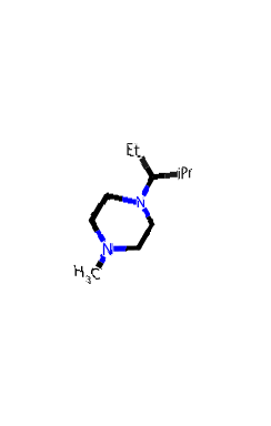 [CH2]C(C)C(CC)N1CCN(C)CC1